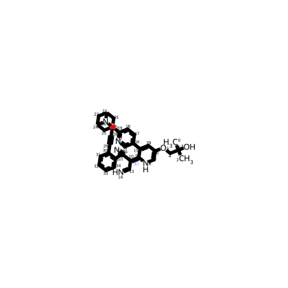 CC(C)(O)COC1=CN/C(=C(/C#N)C=N)C(c2ccc(N3CC4CC(C3)N4CC#Cc3ccccc3F)nc2)=C1